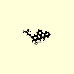 CCN(CC)CCOc1ccc(C(C)C(C(=O)c2ccccc2)c2ccccc2)cc1C.Cl